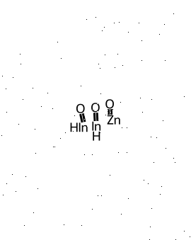 [O]=[InH].[O]=[InH].[O]=[Zn]